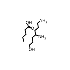 CCCCC(=O)O.NCCCC(N)CCCO